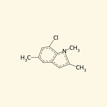 Cc1cc(Cl)c2c(c1)cc(C)n2C